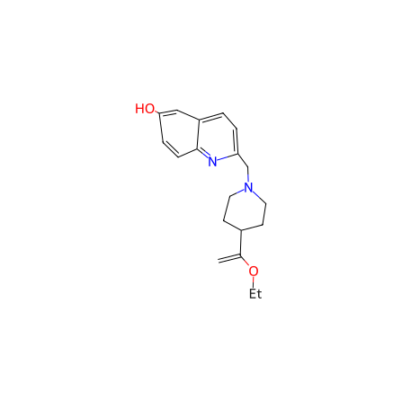 C=C(OCC)C1CCN(Cc2ccc3cc(O)ccc3n2)CC1